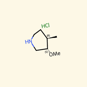 CO[C@@H]1CNCC[C@H]1C.Cl